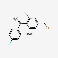 C=C(c1ccc(CBr)cc1Br)c1ccc(F)cc1OC